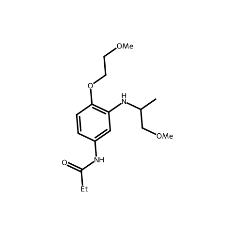 CCC(=O)Nc1ccc(OCCOC)c(NC(C)COC)c1